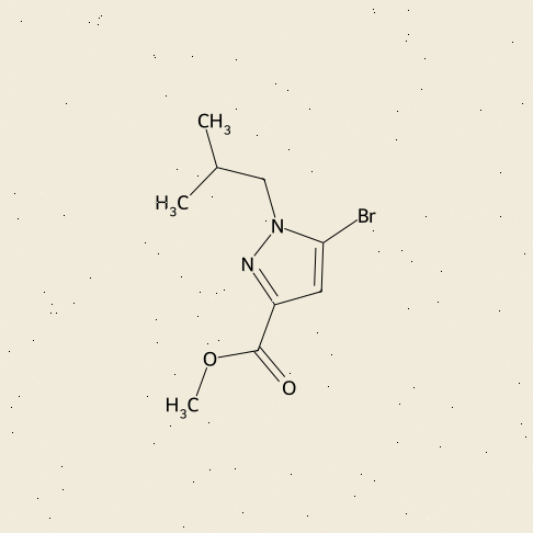 COC(=O)c1cc(Br)n(CC(C)C)n1